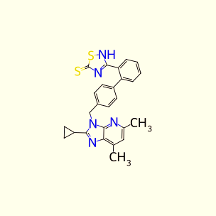 Cc1cc(C)c2nc(C3CC3)n(Cc3ccc(-c4ccccc4-c4nc(=S)s[nH]4)cc3)c2n1